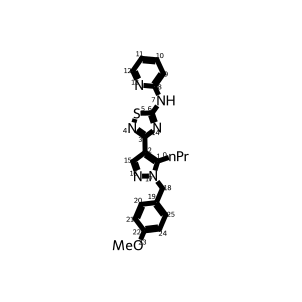 CCCc1c(-c2nsc(Nc3ccccn3)n2)cnn1Cc1ccc(OC)cc1